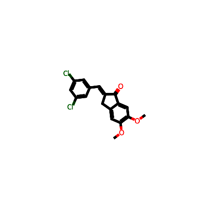 COc1cc2c(cc1OC)C(=O)/C(=C/c1cc(Cl)cc(Cl)c1)C2